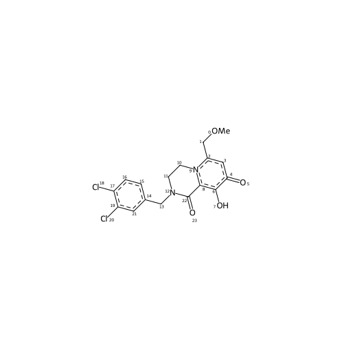 COCc1cc(=O)c(O)c2n1CCN(Cc1ccc(Cl)c(Cl)c1)C2=O